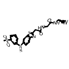 CS(=O)(=O)c1cccc(Nc2ccc3nc(CC(=O)NCC(=O)NCC#N)sc3c2)c1